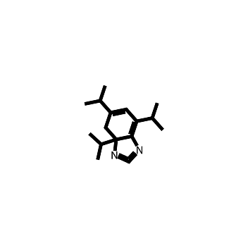 CC(C)C1=CC(C(C)C)=C2N=C=NC2(C(C)C)C1